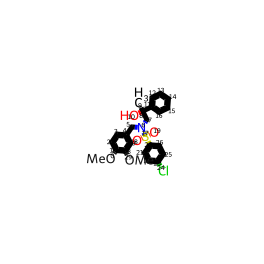 COc1ccc(CN(CC(C)(O)c2ccccc2)S(=O)(=O)c2ccc(Cl)cc2)cc1OC